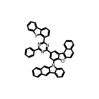 c1ccc(-c2nc(-c3cc(-n4c5ccccc5c5cc6ccccc6cc54)c4oc5ccc6ccccc6c5c4c3)nc(-c3cccc4c3sc3ccccc34)n2)cc1